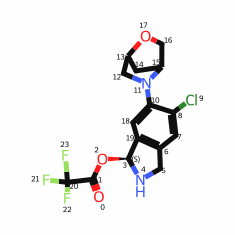 O=C(O[C@@H]1NCc2cc(Cl)c(N3CC4CC3CO4)cc21)C(F)(F)F